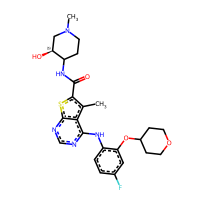 Cc1c(C(=O)NC2CCN(C)C[C@@H]2O)sc2ncnc(Nc3ccc(F)cc3OC3CCOCC3)c12